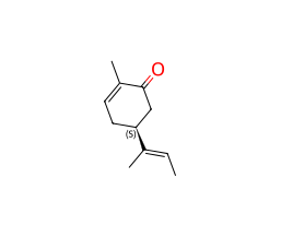 CC=C(C)[C@H]1CC=C(C)C(=O)C1